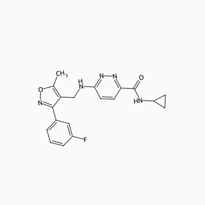 Cc1onc(-c2cccc(F)c2)c1CNc1ccc(C(=O)NC2CC2)nn1